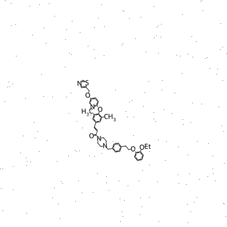 CCOc1ccccc1OCCc1ccc(CN2CCN(C(=O)C=Cc3cc(C)c(Oc4ccc(OCc5cncs5)cn4)c(C)c3)CC2)cc1